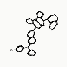 CC(C)(C)c1ccc(N(c2ccccc2)c2ccc3cc(-c4cc5cc(C6=CCCc7ccccc76)c6ccccc6c5c5ccccc45)ccc3c2)cc1